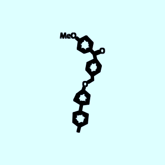 COc1ccc(C(=O)c2ccc(COc3ccc(-c4ccc(C)cc4)cc3)cc2)cc1